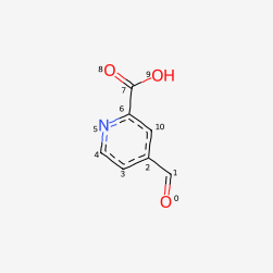 O=Cc1ccnc(C(=O)O)c1